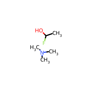 CC(O)F.CN(C)C